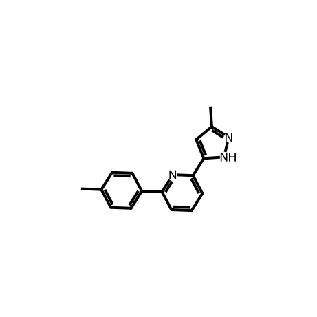 Cc1ccc(-c2cccc(-c3cc(C)n[nH]3)n2)cc1